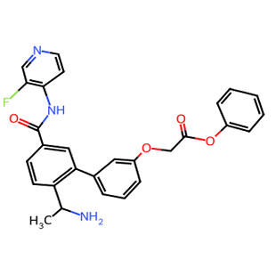 CC(N)c1ccc(C(=O)Nc2ccncc2F)cc1-c1cccc(OCC(=O)Oc2ccccc2)c1